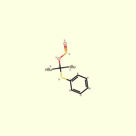 CCCCC(CCCC)(OP=O)Sc1ccccc1